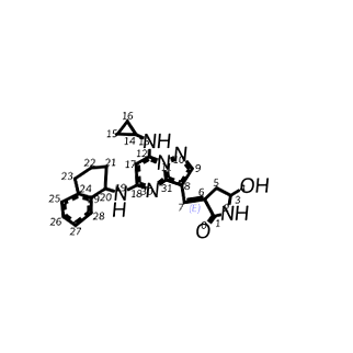 O=C1NC(O)C/C1=C\c1cnn2c(NC3CC3)cc(NC3CCCc4ccccc43)nc12